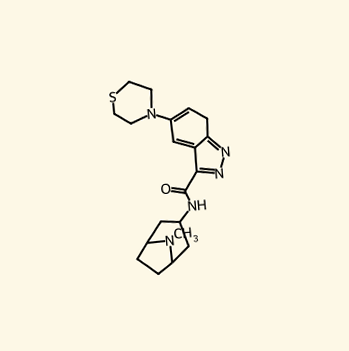 CN1C2CCC1CC(NC(=O)C1=NN=C3CC=C(N4CCSCC4)C=C31)C2